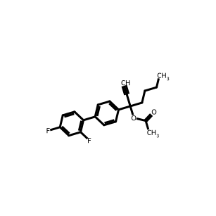 C#CC(CCCC)(OC(C)=O)c1ccc(-c2ccc(F)cc2F)cc1